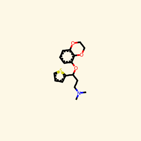 CN(C)CCC(Oc1cccc2c1OCCO2)c1cccs1